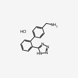 Cl.NCc1ccc(-c2ccccc2-c2nnn[nH]2)cc1